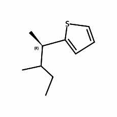 CCC(C)[C@@H](C)c1cccs1